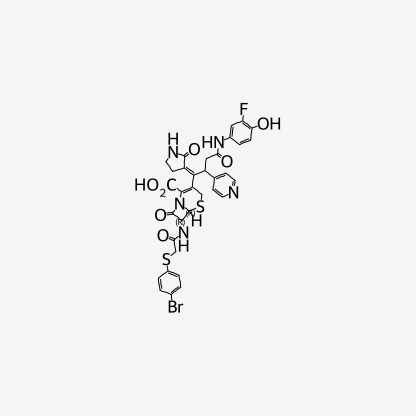 O=C(CC(C(=C1CCNC1=O)C1=C(C(=O)O)N2C(=O)[C@@H](NC(=O)CSc3ccc(Br)cc3)[C@H]2SC1)c1ccncc1)Nc1ccc(O)c(F)c1